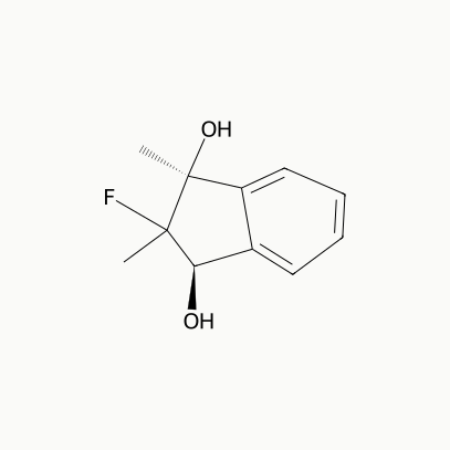 CC1(F)[C@H](O)c2ccccc2[C@]1(C)O